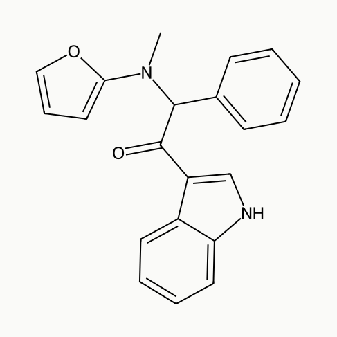 CN(c1ccco1)C(C(=O)c1c[nH]c2ccccc12)c1ccccc1